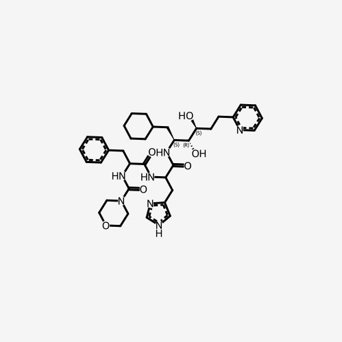 O=C(N[C@@H](CC1CCCCC1)[C@@H](O)[C@@H](O)CCc1ccccn1)C(Cc1c[nH]cn1)NC(=O)C(Cc1ccccc1)NC(=O)N1CCOCC1